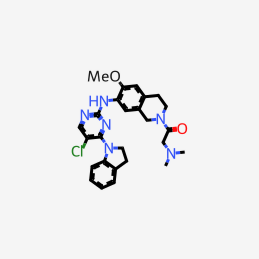 COc1cc2c(cc1Nc1ncc(Cl)c(N3CCc4ccccc43)n1)CN(C(=O)CN(C)C)CC2